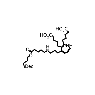 CCCCCCCCCCCCCOC(=O)CCCCNCCCC1=CC=CNC(CCCCC(=O)O)=C1CCCCC(=O)O